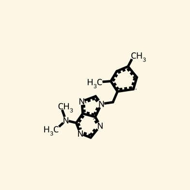 Cc1c[c]c(Cn2cnc3c(N(C)C)ncnc32)c(C)c1